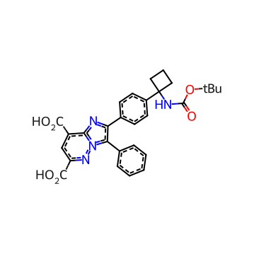 CC(C)(C)OC(=O)NC1(c2ccc(-c3nc4c(C(=O)O)cc(C(=O)O)nn4c3-c3ccccc3)cc2)CCC1